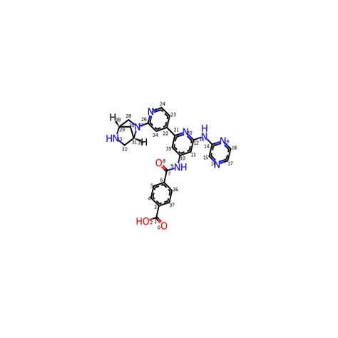 O=C(O)c1ccc(C(=O)Nc2cc(Nc3cnccn3)nc(-c3ccnc(N4C[C@@H]5C[C@H]4CN5)c3)c2)cc1